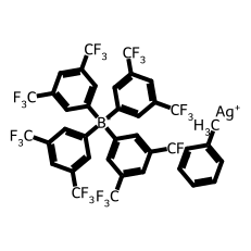 Cc1ccccc1.FC(F)(F)c1cc([B-](c2cc(C(F)(F)F)cc(C(F)(F)F)c2)(c2cc(C(F)(F)F)cc(C(F)(F)F)c2)c2cc(C(F)(F)F)cc(C(F)(F)F)c2)cc(C(F)(F)F)c1.[Ag+]